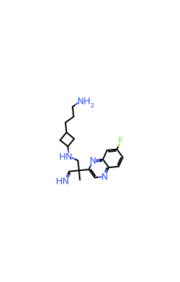 CC(C=N)(CNC1CC(CCCN)C1)c1cnc2ccc(F)cc2n1